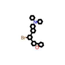 Brc1cc(-c2ccc3cc(N(c4ccccc4)c4ccccc4)ccc3c2)cc(-c2ccc3oc4ccccc4c3c2)c1